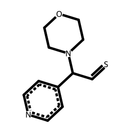 S=CC(c1ccncc1)N1CCOCC1